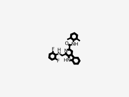 Cc1cccc(C)c1NC(=O)c1cc2c([nH]c3ccccc32)c(CNc2c(F)cccc2F)n1